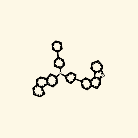 c1ccc(-c2ccc(N(c3ccc(-c4ccc5ccc6oc7ccccc7c6c5c4)cc3)c3ccc4c(ccc5ccccc54)c3)cc2)cc1